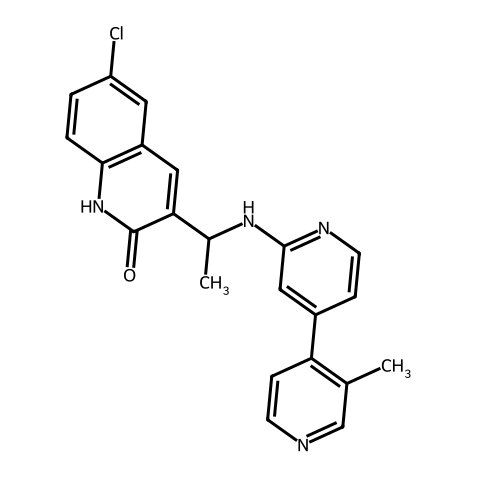 Cc1cnccc1-c1ccnc(NC(C)c2cc3cc(Cl)ccc3[nH]c2=O)c1